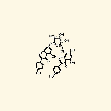 O=c1c(-c2ccc(O)cc2)coc2cc(O)cc(O)c12.O=c1c(-c2ccc(O)cc2)coc2cc(O[C@@H]3O[C@H](CO)[C@@H](O)[C@H](O)[C@H]3O)cc(O)c12